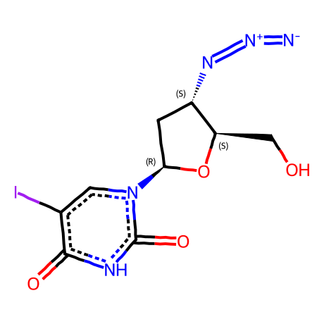 [N-]=[N+]=N[C@H]1C[C@H](n2cc(I)c(=O)[nH]c2=O)O[C@@H]1CO